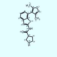 Cc1noc(C)c1-c1cccc2nc(NC(=O)C3CCNC3)sc12